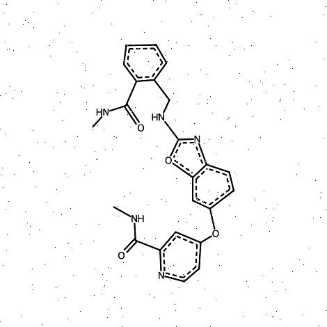 CNC(=O)c1cc(Oc2ccc3nc(NCc4ccccc4C(=O)NC)oc3c2)ccn1